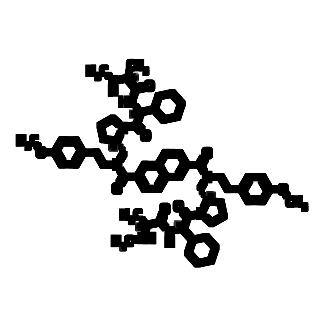 CN[C@@H](C)C(=O)N[C@H](C(=O)N1CCC[C@H]1CN(CCc1ccc(OC)cc1)C(=O)c1ccc2cc(C(=O)N(CCc3ccc(OC)cc3)C[C@@H]3CCCN3C(=O)[C@@H](NC(=O)[C@H](C)NC)C3CCCCC3)ccc2c1)C1CCCCC1